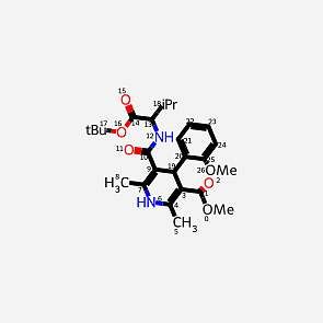 COC(=O)C1=C(C)NC(C)=C(C(=O)NC(C(=O)OC(C)(C)C)C(C)C)C1c1ccccc1OC